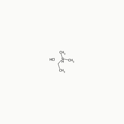 CC[SiH](C)C.Cl